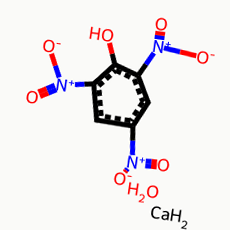 O.O=[N+]([O-])c1cc([N+](=O)[O-])c(O)c([N+](=O)[O-])c1.[CaH2]